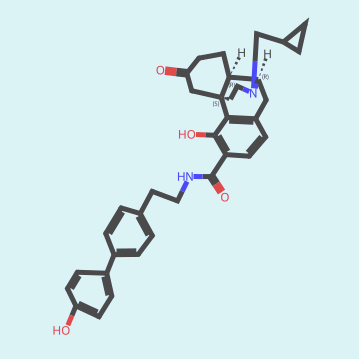 O=C1CC[C@H]2[C@H]3Cc4ccc(C(=O)NCCc5ccc(-c6ccc(O)cc6)cc5)c(O)c4[C@@]2(CCN3CC2CC2)C1